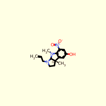 C=CCN1CC[C@@]2(C)c3cc(O)cc([N+](=O)[O-])c3N(C)C12